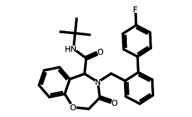 CC(C)(C)NC(=O)C1c2ccccc2OCC(=O)N1Cc1ccccc1-c1ccc(F)cc1